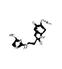 COc1cc2[nH]c(=O)c(CCNc3ncc(C#N)s3)cc2cc1Cl